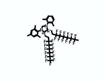 Cc1cc(C)c(N2CN(c3c(C)cccc3C)[C@H](CCC(F)(F)C(F)(F)C(F)(F)C(F)(F)C(F)(F)C(C)(F)F)[C@H]2CCC(F)(F)C(F)(F)C(F)(F)C(F)(F)C(F)(F)C(F)(F)F)c(C)c1